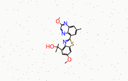 COc1cc(C(C)(C)O)c2nc(-c3cc(C)cc4nc(OC)cnc34)sc2c1